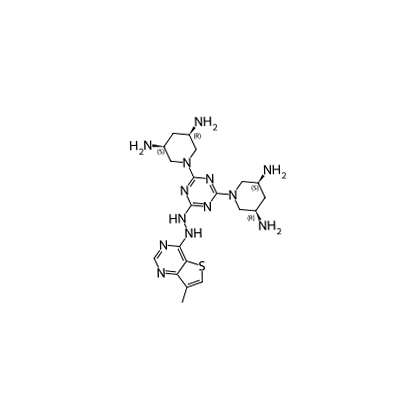 Cc1csc2c(NNc3nc(N4C[C@H](N)C[C@H](N)C4)nc(N4C[C@H](N)C[C@H](N)C4)n3)ncnc12